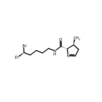 CC[C@H](CCCCNC(=O)[C@H]1N=CC[C@@H]1C)C(C)=O